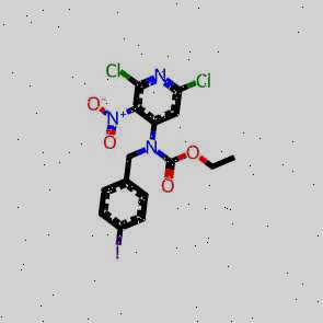 CCOC(=O)N(Cc1ccc(I)cc1)c1cc(Cl)nc(Cl)c1[N+](=O)[O-]